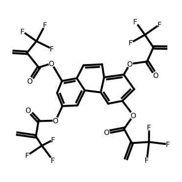 C=C(C(=O)Oc1cc(OC(=O)C(=C)C(F)(F)F)c2ccc3c(OC(=O)C(=C)C(F)(F)F)cc(OC(=O)C(=C)C(F)(F)F)cc3c2c1)C(F)(F)F